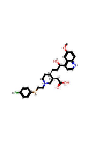 COc1ccc2nccc(C(O)CC[C@@H]3CCN(CCSc4ccc(F)cc4)C[C@@H]3CC(=O)O)c2c1